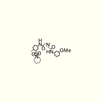 COc1cccc(NC(=O)CN(C)CC(=O)Nc2ccc(C)c(S(=O)(=O)N3CCCCCC3)c2)c1